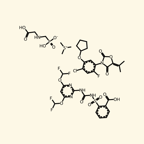 CC(C)=C1OC(=O)N(c2cc(OC3CCCC3)c(Cl)cc2F)C1=O.C[S+](C)C.O=C(Nc1nc(OC(F)F)cc(OC(F)F)n1)NS(=O)(=O)c1ccccc1C(=O)O.O=C(O)CNCP(=O)([O-])O